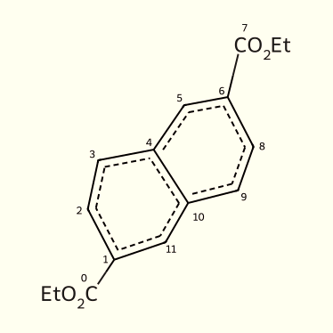 CCOC(=O)c1ccc2cc(C(=O)OCC)ccc2c1